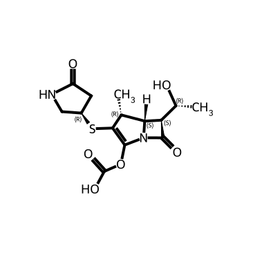 C[C@@H](O)[C@H]1C(=O)N2C(OC(=O)O)=C(S[C@H]3CNC(=O)C3)[C@H](C)[C@H]12